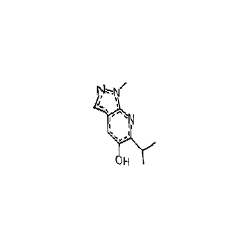 CC(C)c1nc2c(cnn2C)cc1O